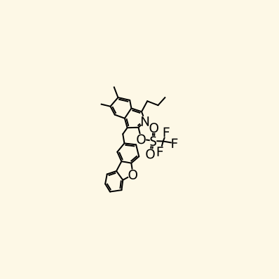 CCCc1nc(OS(=O)(=O)C(F)(F)F)c(Cc2ccc3oc4ccccc4c3c2)c2cc(C)c(C)cc12